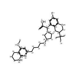 C=C(O)[C@@H](c1cc(F)cc2c1CC(C(C)(C)F)CO2)N1CC[C@@H](OCCCCc2cc(OC)c3c(n2)NCCC3)C1